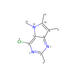 Cc1nc(Cl)c2c(n1)c(C)c(C)n2C